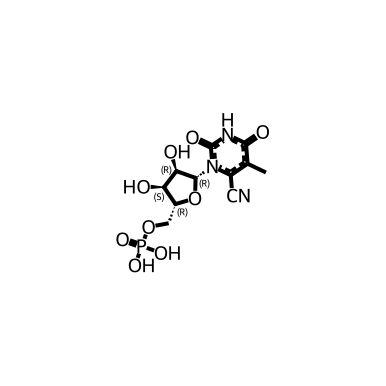 Cc1c(C#N)n([C@@H]2O[C@H](COP(=O)(O)O)[C@@H](O)[C@H]2O)c(=O)[nH]c1=O